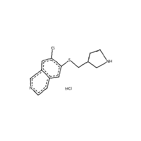 Cl.Clc1cc2cnccc2cc1SCC1CCNC1